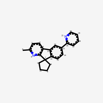 Cc1ccc2c(n1)C1(CCCC1)c1ccc(-c3ccccn3)cc1-2